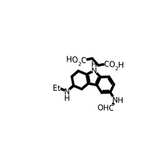 CCNC1CCc2[nH]c3ccc(NC=O)cc3c2C1.O=C(O)CCC(=O)O